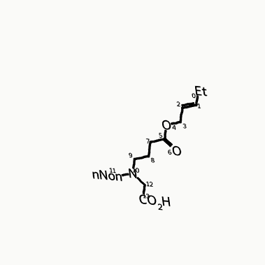 CCC=CCOC(=O)CCCN(CCCCCCCCC)CC(=O)O